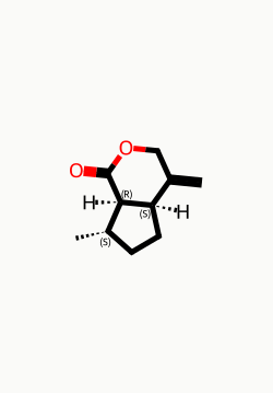 C=C1COC(=O)[C@H]2[C@@H]1CC[C@@H]2C